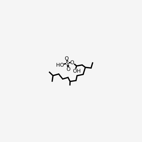 CCC(CCCC(C)CCCC(C)C)CC(O)OS(=O)(=O)O